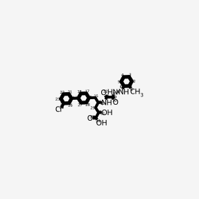 Cc1ccccc1NNC(=O)C(=O)NC(Cc1ccc(-c2cccc(Cl)c2)cc1)CC(O)C(=O)O